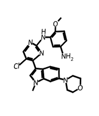 COc1ccc(N)cc1Nc1ncc(Cl)c(-c2cn(C)c3cc(N4CCOCC4)ccc23)n1